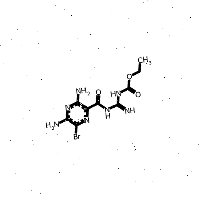 CCOC(=O)NC(=N)NC(=O)c1nc(Br)c(N)nc1N